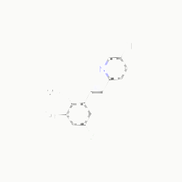 COc1c(/C=C/c2ccc(C)cn2)cc(Br)cc1C(C)(C)C